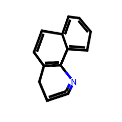 C1=CCc2ccc3ccccc3c2N=1